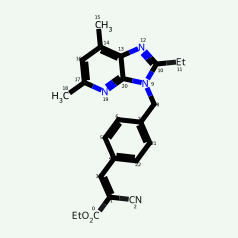 CCOC(=O)/C(C#N)=C/c1ccc(Cn2c(CC)nc3c(C)cc(C)nc32)cc1